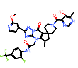 COc1cc(-c2nc3n(CC(=O)Nc4ccc(C(F)(F)F)cc4F)c4c(c(=O)n3n2)C2(CCN(C(=O)c3ncnc(C)c3O)CC2)CC4C)ccn1